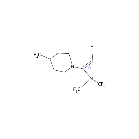 F/C=C(\N1CCC(C(F)(F)F)CC1)N(C(F)(F)F)C(F)(F)F